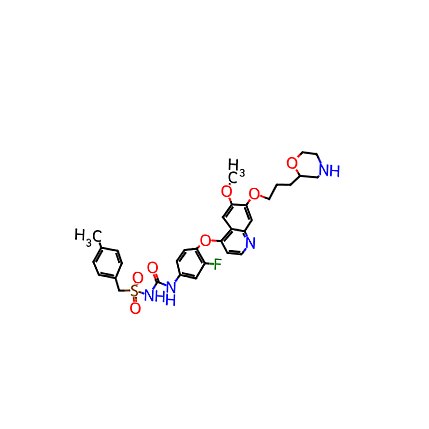 COc1cc2c(Oc3ccc(NC(=O)NS(=O)(=O)Cc4ccc(C)cc4)cc3F)ccnc2cc1OCCCC1CNCCO1